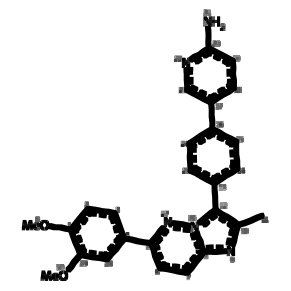 COc1ccc(-c2ccc3nc(C)c(-c4ccc(-c5ccc(N)nc5)cc4)n3n2)cc1OC